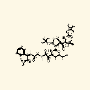 CCCCC(NC(=O)[C@@H]1C(OC(C)(C)C)CCN1C(=O)[C@@H](NC(=O)OC(C)(C)C)C(C)(C)C)C(=O)C(=O)NCC(=O)NC(C(=O)N(C)C)c1ccccc1